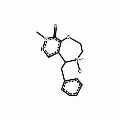 Cn1ncc2c(c1=O)SCC[NH+]([O-])C2Cc1ccccc1